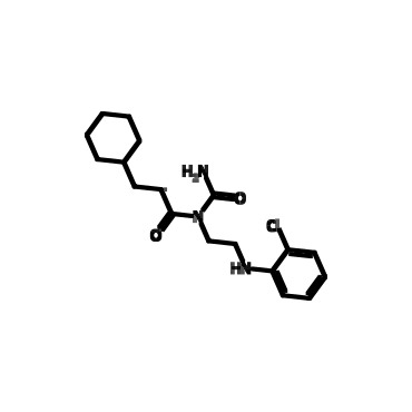 NC(=O)N(CCNc1ccccc1Cl)C(=O)[CH]CC1CCCCC1